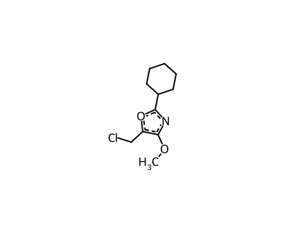 COc1nc(C2CCCCC2)oc1CCl